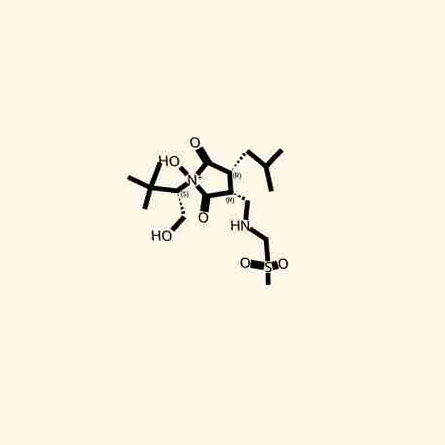 CC(C)C[C@H]1C(=O)[N+](O)([C@H](CO)C(C)(C)C)C(=O)[C@H]1CNCS(C)(=O)=O